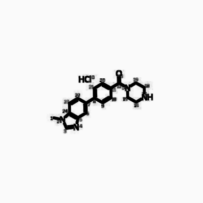 Cl.Cn1cnc2cc(-c3ccc(C(=O)N4CCNCC4)cc3)ccc21